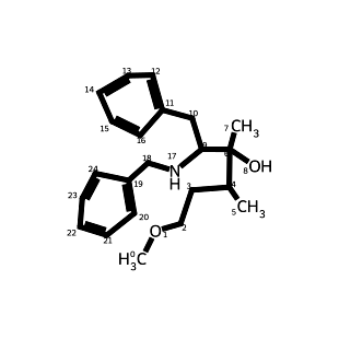 COCCC(C)C(C)(O)C(Cc1ccccc1)NCc1ccccc1